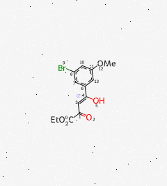 CCOC(=O)C(=O)/C=C(\O)c1cc(Br)cc(OC)c1